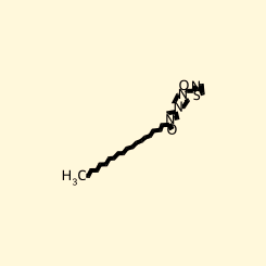 CCCCCCCCCCCCCCCCCCCC(=O)N1CC(N2CCN(C(=O)c3nccs3)CC2)C1